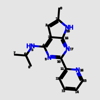 Cc1cc2c(NC(C)C)nc(-c3ccccn3)nc2[nH]1